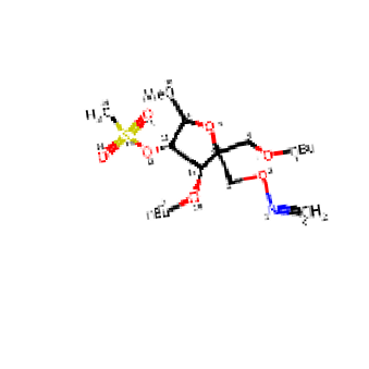 C=NOC[C@]1(COCCCC)OC(OC)[C@@H](OS(C)(=O)=O)[C@@H]1OCCCC